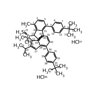 Cc1ccc(-c2ccc(C(C)(C)C)cc2)c2c1[CH]([Zr]([CH3])([CH3])(=[SiH2])[CH]1C(C(C)C)=Cc3c(-c4ccc(C(C)(C)C)cc4)cccc31)C=C2.Cl.Cl